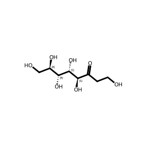 O=C(CCO)[C@@H](O)[C@@H](O)[C@H](O)[C@H](O)CO